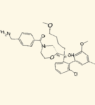 COCCCC[C@@](O)(c1cccc(Cl)c1-c1cc(C)cc(OC)c1)[C@H]1CN(C(=O)c2ccc(CN)cc2)CCO1